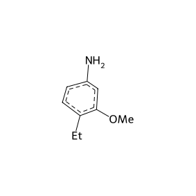 CCc1ccc(N)cc1OC